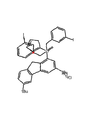 Cl.Cl.[CH2]=[Zr]([CH2]c1cccc(I)c1)([CH2]c1cccc(I)c1)([C]1=CC=CC1)[c]1cc(C(C)(C)C)cc2c1Cc1ccc(C(C)(C)C)cc1-2